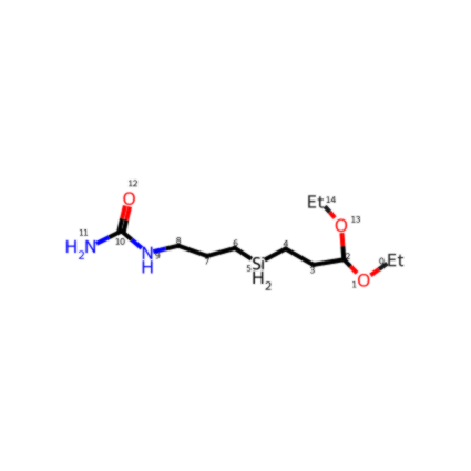 CCOC(CC[SiH2]CCCNC(N)=O)OCC